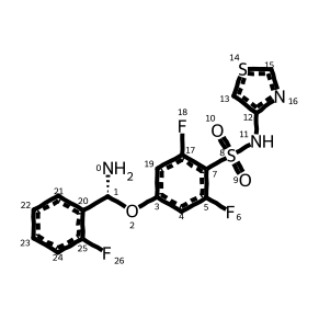 N[C@H](Oc1cc(F)c(S(=O)(=O)Nc2cscn2)c(F)c1)c1ccccc1F